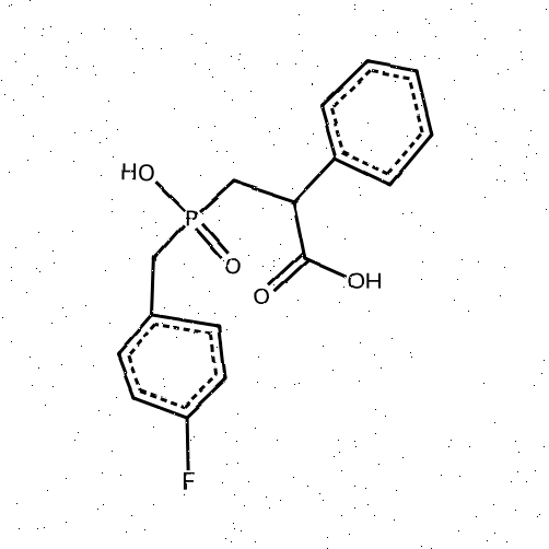 O=C(O)C(CP(=O)(O)Cc1ccc(F)cc1)c1ccccc1